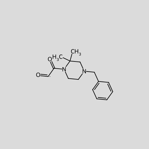 CC1(C)CN(Cc2ccccc2)CCN1C(=O)[C]=O